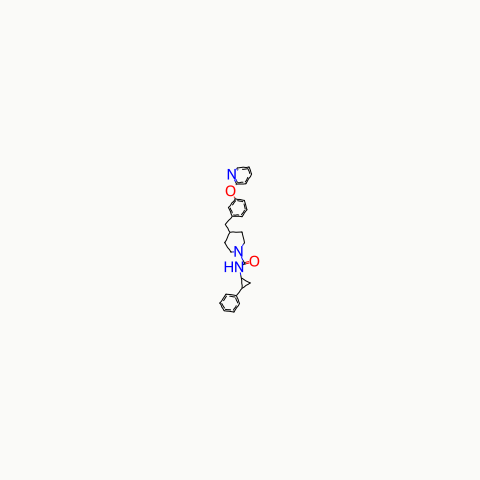 O=C(NC1CC1c1ccccc1)N1CCC(Cc2cccc(Oc3ccccn3)c2)CC1